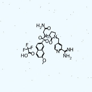 COc1ccc2ccc(S(=O)(=O)N(CC(N)=O)[C@H]3CCN(Cc4ccnc(C(=N)N)c4)C3=O)cc2c1.O=C(O)C(F)(F)F